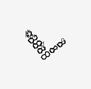 C1CCC2CCCCC2C1.c1ccc2[nH]ccc2c1.c1ccc2c(c1)CCC2.c1ccc2ccccc2c1.c1ccc2ncccc2c1.c1ccc2occc2c1.c1cnnnn1